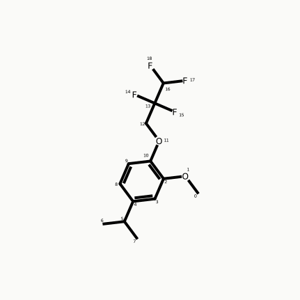 COc1cc(C(C)C)ccc1OCC(F)(F)C(F)F